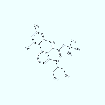 CCC(CC)Nc1cccc(-c2c(C)cc(C)cc2C)c1NC(=O)OC(C)(C)C